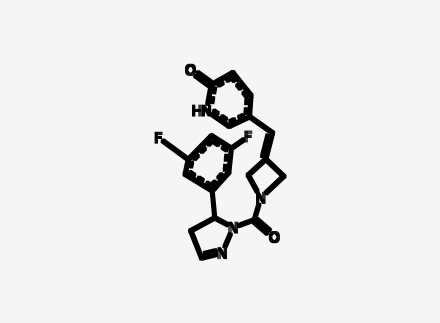 O=C(N1CC(=Cc2ccc(=O)[nH]c2)C1)N1N=CCC1c1cc(F)cc(F)c1